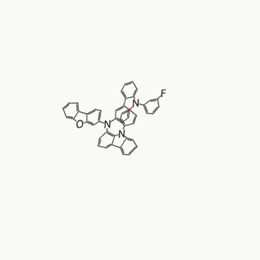 Fc1cccc(-n2c3ccccc3c3cc(N(c4ccc5c(c4)oc4ccccc45)c4cccc5c6ccccc6n(-c6ccccc6)c45)ccc32)c1